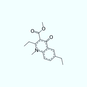 CCc1ccc2c(c1)c(=O)c(C(=O)OC)c(CC)n2C